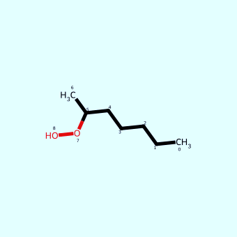 CCCCCC(C)OO